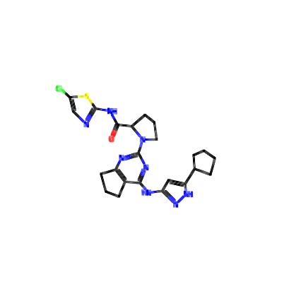 O=C(Nc1ncc(Cl)s1)C1CCCN1c1nc2c(c(Nc3cc(C4CCCC4)[nH]n3)n1)CCC2